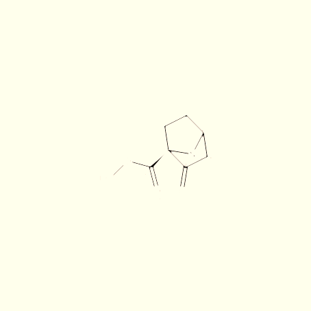 CC(C)(C)OC(=O)[C@]12CCC(CC1=O)N2